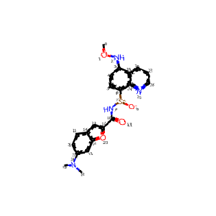 CONc1ccc([S+]([O-])NC(=O)c2cc3ccc(N(C)C)cc3o2)c2ncccc12